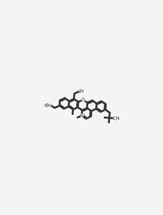 Cc1c2c(c(CC(C)C)c3ccc(CC(C)(C)C)cc13)Oc1cc3ccc(CC(C)(C)C#N)cc3c3cc[n+](C)c-2c13